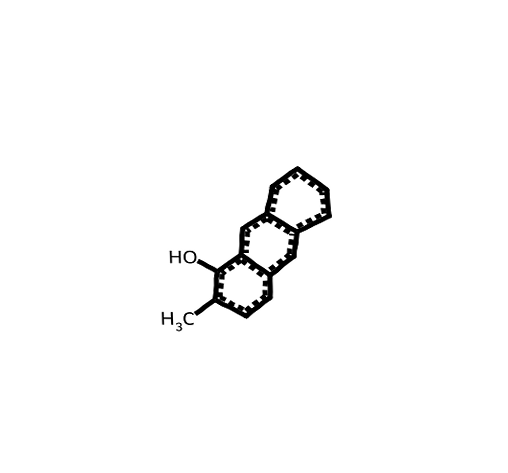 Cc1ccc2cc3ccccc3cc2c1O